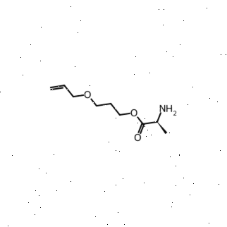 C=CCOCCCOC(=O)[C@H](C)N